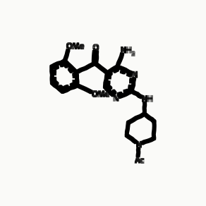 COc1cccc(OC)c1C(=O)c1cnc(NC2CCN(C(C)=O)CC2)nc1N